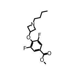 CCCCN1CC(Oc2c(F)cc(C(=O)OC)cc2F)C1